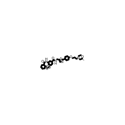 C[C@@H]1CN(CCCOc2ccc(-c3ncc(CNC(=O)c4ccc5c(c4)NC(=O)c4ccccc4S5(=O)=O)s3)cc2)CCO1